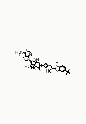 CC1O[C@H]2[C@@H](O)[C@H](n3cnc4c(N)ncnc43)O[C@@H]2CN1[C@H]1C[C@H](CC(O)c2nc3cc(C(C)(C)C)ccc3[nH]2)C1